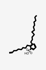 C=CCCCCCCCc1c(CCCCCCCCCCCC)cccc1S(=O)(=O)O